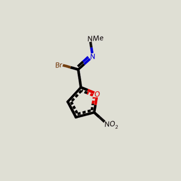 CNN=C(Br)c1ccc([N+](=O)[O-])o1